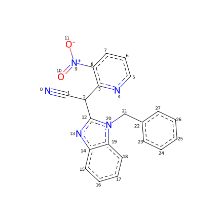 N#CC(c1ncccc1[N+](=O)[O-])c1nc2ccccc2n1Cc1ccccc1